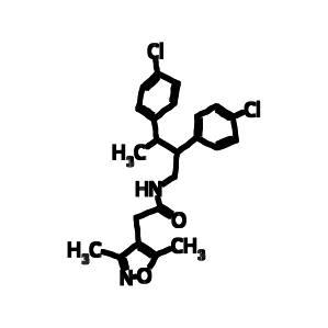 Cc1noc(C)c1CC(=O)NCC(c1ccc(Cl)cc1)C(C)c1ccc(Cl)cc1